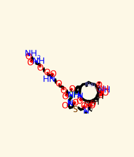 COc1cc2cc(c1Cl)N(C)C(=O)C[C@@H](OC(=O)[C@@H](C)N(C)C(=O)CCSC1CC(=O)N(CCNC(=O)COCCOCCNC(=O)COCCOCCNC(=O)CON)C1=O)[C@@]1(C)O[C@@H]1C(C)[C@@H]1OC(=O)N[C@@](O)(C1C)[C@@H](OC)/C=C/C=C(\C)C2